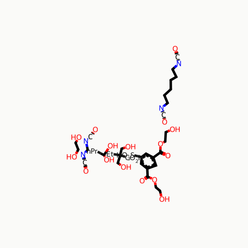 CCC(CO)(CO)C(=O)O.CCCC(O)O.O=C(OCCO)c1cc(C(=O)OCCO)cc(S(=O)(=O)O)c1.O=C=NCCCCCCN=C=O.O=C=NCN=C=O.OCCO